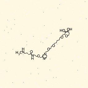 CNCCCC(=O)NCCOCC1=CN(CCOCCOCCCCCOCC2OCC[C@@H](O)[C@H]2O)CC=N1